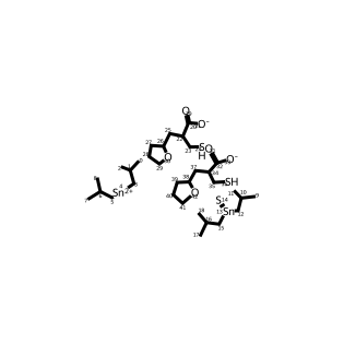 CC(C)[CH2][Sn+2][CH2]C(C)C.CC(C)[CH2][Sn](=[S])[CH2]C(C)C.O=C([O-])C(CS)CC1CCCO1.O=C([O-])C(CS)CC1CCCO1